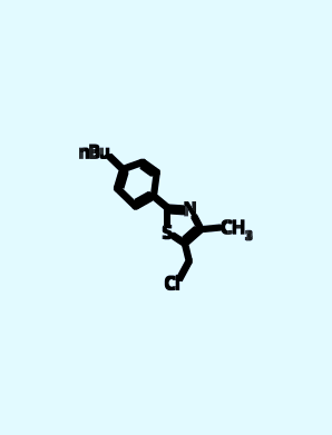 CCCCc1ccc(-c2nc(C)c(CCl)s2)cc1